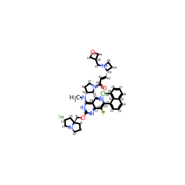 CN(c1nc(OC[C@@]23CCCN2C[C@H](F)C3)nc2c(F)c(-c3cccc4cccc(Cl)c34)ncc12)[C@@H]1CCN(C(=O)C=C[C@H]2CCN2CC2COC2)C1